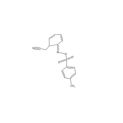 Cc1ccc(S(=O)(=O)ON=C2C=CC=CC2CC#N)cc1